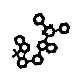 CC1(C)c2cccc(-c3cccc(-c4ccc(-c5cc(-c6ccccc6)nc(-c6ccccc6)n5)c5ccccc45)c3)c2-c2ccc3ccccc3c21